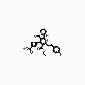 CCOC(=O)c1c(CCc2ccc(F)cc2)nc2c(c1-c1cc(C(=O)O)co1)C(=O)N1CCC[C@@H]21